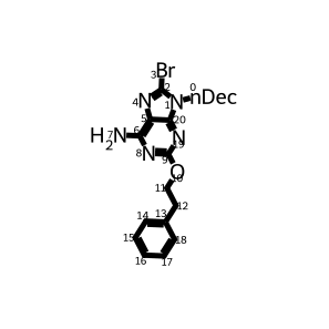 CCCCCCCCCCn1c(Br)nc2c(N)nc(OCCc3ccccc3)nc21